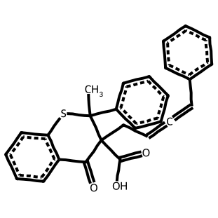 CC1(c2ccccc2)Sc2ccccc2C(=O)C1(CC=C=Cc1ccccc1)C(=O)O